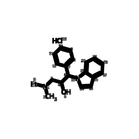 CCN(C)CC(O)C(c1ccccc1)n1ccc2ccccc21.Cl